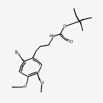 COc1cc(Br)c(CCNC(=O)OC(C)(C)C)cc1OC